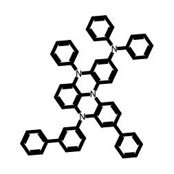 c1ccc(-c2cccc(N3c4cc(-c5ccccc5)ccc4N4c5ccc(N(c6ccccc6)c6ccccc6)cc5N(c5ccccc5)c5cccc3c54)c2)cc1